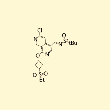 CCS(=O)(=O)C1CC(Oc2ncc(/C=N/[S@@+]([O-])C(C)(C)C)c3cc(Cl)ncc23)C1